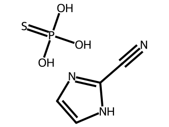 N#Cc1ncc[nH]1.OP(O)(O)=S